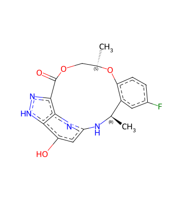 C[C@H]1COC(=O)c2n[nH]c3c(O)cc(nc23)N[C@H](C)c2cc(F)ccc2O1